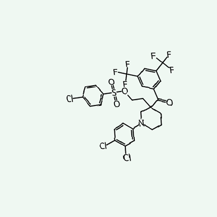 O=C(c1cc(C(F)(F)F)cc(C(F)(F)F)c1)C1(CCOS(=O)(=O)c2ccc(Cl)cc2)CCCN(c2ccc(Cl)c(Cl)c2)C1